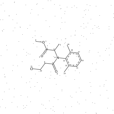 COC(=O)C(C)N(C(=O)CCCl)c1c(C)cccc1C